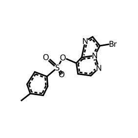 Cc1ccc(S(=O)(=O)Oc2ccnn3c(Br)cnc23)cc1